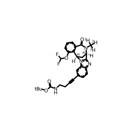 [2H]C([2H])([2H])N1C(=O)c2cccc(OC(F)F)c2[C@H]2C[C@@H]1c1nc3ccc(C#CCCNC(=O)OC(C)(C)C)cc3n12